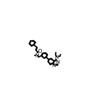 CCN(CC)c1ncnc2ccc(-c3cccc(CN(C)C(=O)C=Cc4ccccc4)c3)cc12